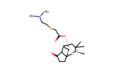 CCCCN(CCCC)CCSCC(=O)O[C@@H]1CC(C)(C)[C@@H](C)CC23CCCC1C2C(=O)CC3